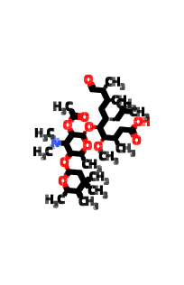 CO[C@H]([C@@H](O[C@@H]1O[C@@H](C)C(O[C@H]2CC(C)(C)C(C)[C@@H](C)O2)C(N(C)C)C1OC(C)=O)[C@@H](CC(C)C)C[C@@H](C)[C@@H](C)C=O)[C@H](C)CC(=O)O